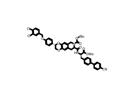 COC(=O)[C@@H](Cc1ccc(-c2ccc(C#N)cc2)cc1)NC(=O)C1Cc2cc3c(cc2CN1C(=O)OC(C)(C)C)O[C@@H](c1ccc(OCc2ccc(Cl)c(Cl)c2)cc1)CO3